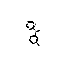 Cc1cccc(N(C)c2ncncn2)c1